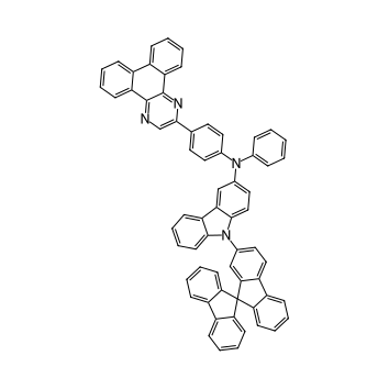 c1ccc(N(c2ccc(-c3cnc4c5ccccc5c5ccccc5c4n3)cc2)c2ccc3c(c2)c2ccccc2n3-c2ccc3c(c2)C2(c4ccccc4-c4ccccc42)c2ccccc2-3)cc1